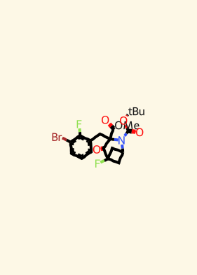 COC(=O)C1(Cc2cccc(Br)c2F)C(=O)C2(F)CC(C2)N1C(=O)OC(C)(C)C